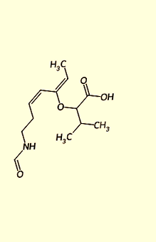 C/C=C(\C=C/CCNC=O)OC(C(=O)O)C(C)C